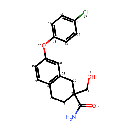 NC(=O)C1(CO)CCc2ccc(Oc3ccc(Cl)cc3)cc2C1